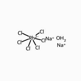 O.[Cl][Rh-2]([Cl])([Cl])([Cl])([Cl])[Cl].[Na+].[Na+]